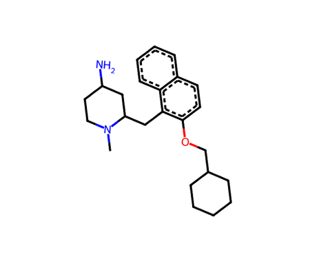 CN1CCC(N)CC1Cc1c(OCC2CCCCC2)ccc2ccccc12